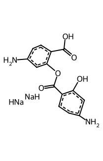 Nc1ccc(C(=O)Oc2cc(N)ccc2C(=O)O)c(O)c1.[NaH].[NaH]